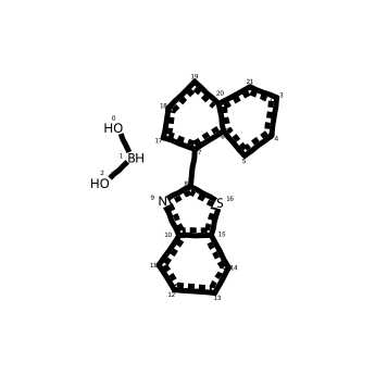 OBO.c1ccc2c(-c3nc4ccccc4s3)cccc2c1